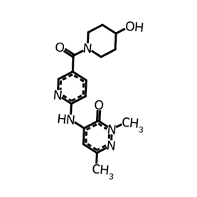 Cc1cc(Nc2ccc(C(=O)N3CCC(O)CC3)cn2)c(=O)n(C)n1